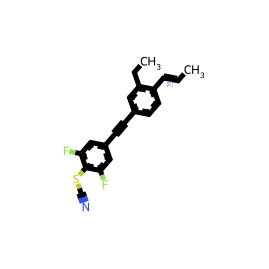 C/C=C/c1ccc(C#Cc2cc(F)c(SC#N)c(F)c2)cc1CC